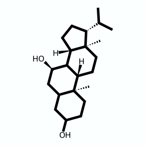 CC(C)[C@H]1CC[C@H]2C3[C@H](O)CC4CC(O)CC[C@]4(C)[C@H]3CC[C@]12C